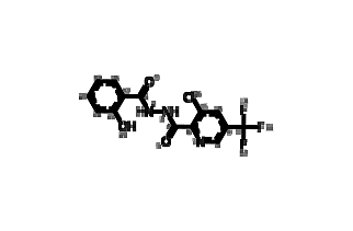 O=C(NNC(=O)c1ncc(C(F)(F)F)cc1Cl)c1ccccc1O